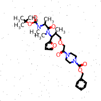 CC(COCC(=O)N1CCN(C(=O)OCc2ccccc2)CC1)C(c1ccco1)N(C)C(=O)C(C)N(C)C(=O)OC(C)(C)C